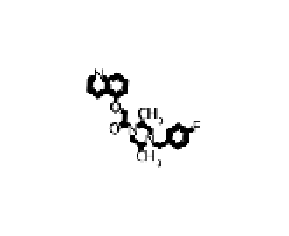 CC1CN(C(=O)COc2cccc3ncccc23)C(C)CN1Cc1ccc(F)cc1